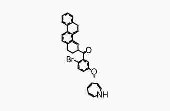 C1=CC=CNC=C1.COc1ccc(Br)c(C(=O)C2C=c3c(ccc4c3=CCc3ccccc3-4)CC2)c1